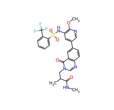 CNC(=O)C(C)Cn1cnc2ccc(-c3cnc(OC)c(NS(=O)(=O)c4ccccc4C(F)(F)F)c3)cc2c1=O